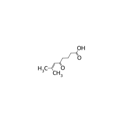 CC(C)=CC(=O)CCCC(=O)O